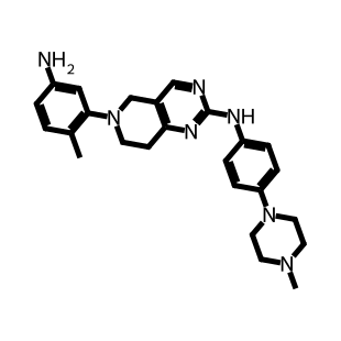 Cc1ccc(N)cc1N1CCc2nc(Nc3ccc(N4CCN(C)CC4)cc3)ncc2C1